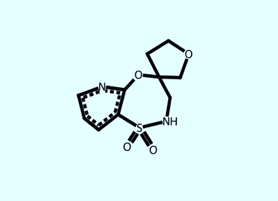 O=S1(=O)NCC2(CCOC2)Oc2ncccc21